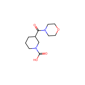 O=C(O)N1CCCC(C(=O)N2CCOCC2)C1